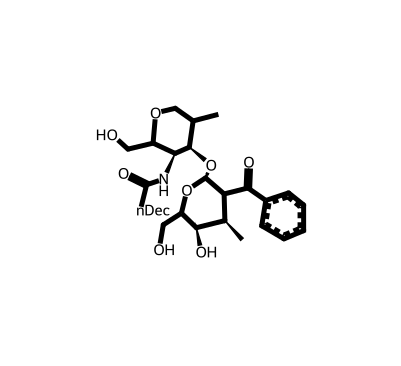 CCCCCCCCCCC(=O)N[C@H]1C(CO)OCC(C)[C@H]1O[C@H]1OC(CO)[C@H](O)[C@H](C)C1C(=O)c1ccccc1